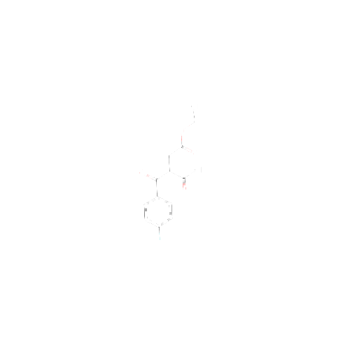 CCOC(=O)CC(C(C)=O)C(=O)c1ccc(F)cc1